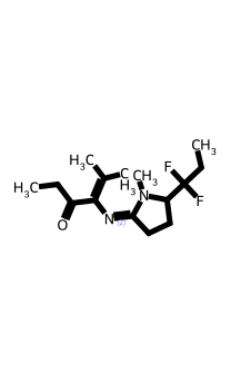 CCC(=O)C(/N=C1/CCC(C(F)(F)CC)N1C)=C(C)C